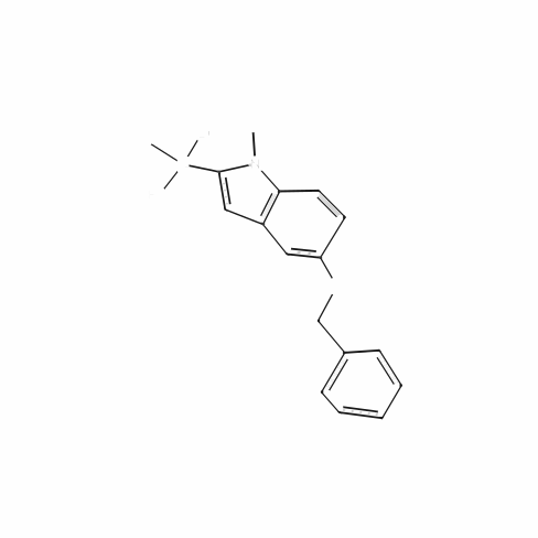 CCS(CC)(CC)c1cc2cc(OCc3ccccc3)ccc2n1C